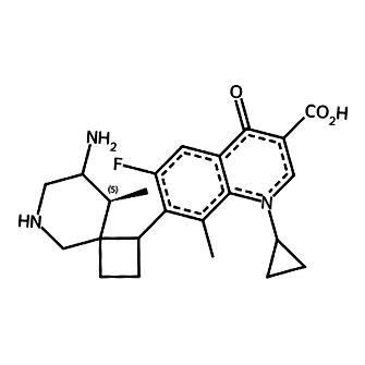 Cc1c(C2CCC23CNCC(N)[C@H]3C)c(F)cc2c(=O)c(C(=O)O)cn(C3CC3)c12